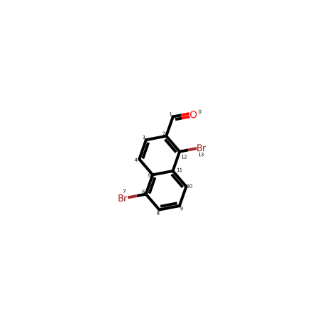 O=Cc1ccc2c(Br)cccc2c1Br